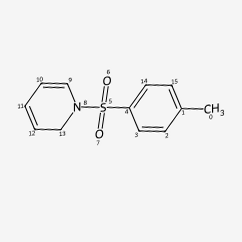 Cc1ccc(S(=O)(=O)N2C=CC=CC2)cc1